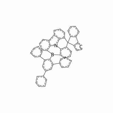 c1ccc(-c2cc(-c3ccccc3)c(B3c4cccc5c4-n4c6c3cccc6c3cccc(c34)C53c4ccccc4-c4ccccc43)c(-c3ccccc3)c2)cc1